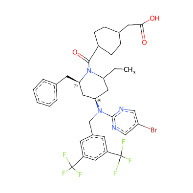 CCC1C[C@@H](N(Cc2cc(C(F)(F)F)cc(C(F)(F)F)c2)c2ncc(Br)cn2)C[C@@H](Cc2ccccc2)N1C(=O)C1CCC(CC(=O)O)CC1